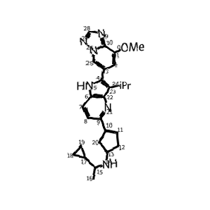 COc1cc(-c2[nH]c3ccc(C4CCC(NC(C)C5CC5)C4)nc3c2C(C)C)cn2ncnc12